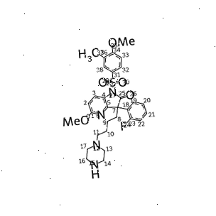 COc1ccc2c(n1)C(CCCCN1CCNCC1)(c1ccccc1F)C(=O)N2S(=O)(=O)c1ccc(OC)c(C)c1